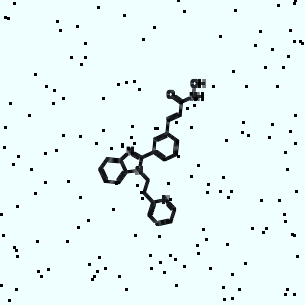 O=C(C=Cc1cccc(-c2nc3ccccc3n2CCc2ccccn2)c1)NO